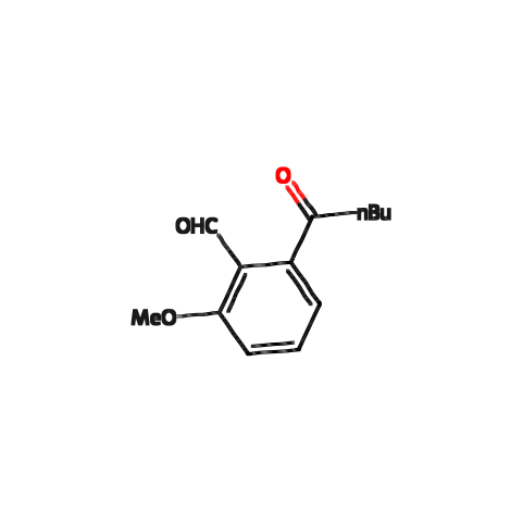 CCCCC(=O)c1cccc(OC)c1C=O